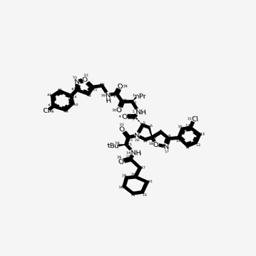 CCC[C@H](NC(=O)[C@@H]1C[C@]2(CC(c3cccc(Cl)c3)=NO2)CN1C(=O)[C@@H](NC(=O)CC1CCCCC1)C(C)(C)C)C(=O)C(=O)NCc1cc(-c2ccc(Cl)cc2)no1